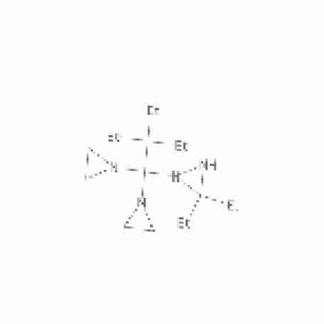 [CH2]CC(CC)(CC)C(N1CC1)(N1CC1)N1NC1(CC)CC